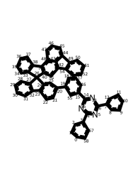 c1ccc(-c2nc(-c3ccccc3)nc(-c3cccc(-c4ccc5c(c4)C4(c6ccccc6-5)c5ccccc5-c5c4cc4c6c(cccc56)-c5ccccc5-4)c3)n2)cc1